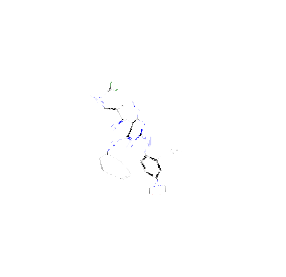 CC/C(=C\N(C)C(F)F)C(=N)c1c(N)nc(Nc2ccc(N3CCOCC3)cc2OC)nc1NC1CCCCC1